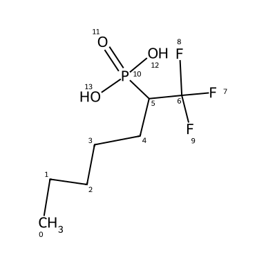 CCCCCC(C(F)(F)F)P(=O)(O)O